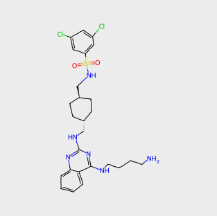 NCCCCNc1nc(NC[C@H]2CC[C@H](CNS(=O)(=O)c3cc(Cl)cc(Cl)c3)CC2)nc2ccccc12